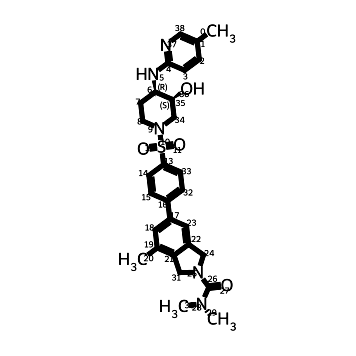 Cc1ccc(N[C@@H]2CCN(S(=O)(=O)c3ccc(-c4cc(C)c5c(c4)CN(C(=O)N(C)C)C5)cc3)C[C@@H]2O)nc1